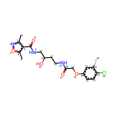 Cc1noc(C)c1C(=O)NCC(O)CCNC(=O)COc1ccc(Cl)c(F)c1